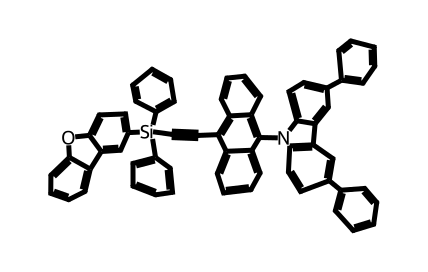 C(#C[Si](c1ccccc1)(c1ccccc1)c1ccc2oc3ccccc3c2c1)c1c2ccccc2c(-n2c3ccc(-c4ccccc4)cc3c3cc(-c4ccccc4)ccc32)c2ccccc12